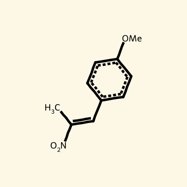 COc1ccc(C=C(C)[N+](=O)[O-])cc1